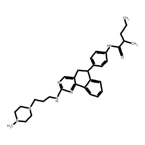 CCCC(C)C(=O)Nc1ccc(C2Cc3cnc(NCCCN4CCN(C)CC4)nc3-c3ccccc32)cc1